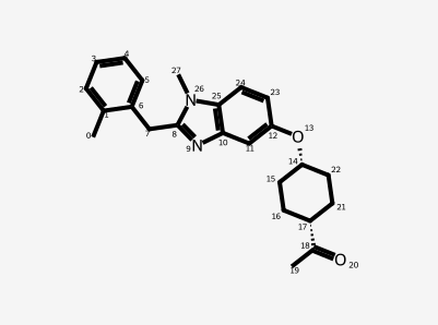 Cc1ccccc1Cc1nc2cc(O[C@H]3CC[C@@H](C(C)=O)CC3)ccc2n1C